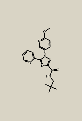 COc1ccc(-n2nc(C(=O)NCC(C)(C)C)nc2-c2ccccn2)cn1